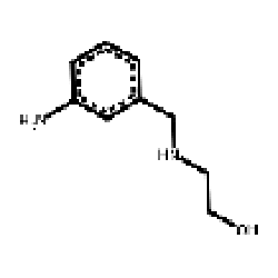 Nc1cccc(CNCCO)c1